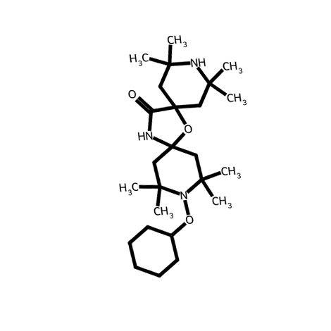 CC1(C)CC2(CC(C)(C)N1)OC1(CC(C)(C)N(OC3CCCCC3)C(C)(C)C1)NC2=O